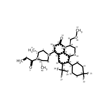 C=CC(=O)N1[C@H](C)CN(c2nc(=O)n3c4c(c(C5CCC(F)(F)CC5)c(C(F)(F)F)cc24)SC[C@@H]3COC)C[C@@H]1C